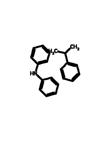 CC(C)c1ccccc1.c1ccc(Nc2ccccc2)cc1